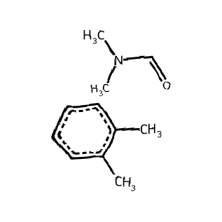 CN(C)C=O.Cc1ccccc1C